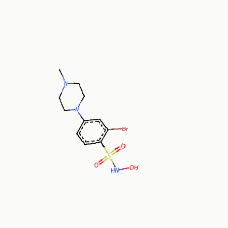 CN1CCN(c2ccc(S(=O)(=O)NO)c(Br)c2)CC1